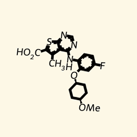 CO[C@H]1CC[C@@H](Oc2cc(F)ccc2Nc2ncnc3sc(C(=O)O)c(C)c23)CC1